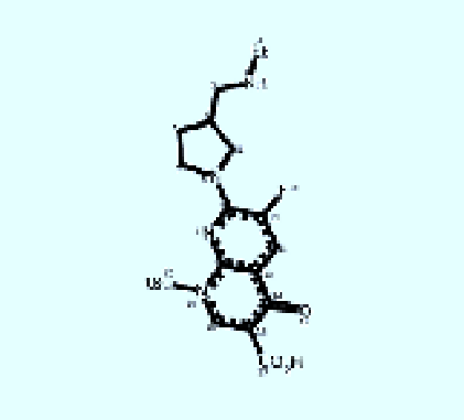 CCNCC1CCN(c2nc3c(cc2F)c(=O)c(C(=O)O)cn3C(C)(C)C)C1